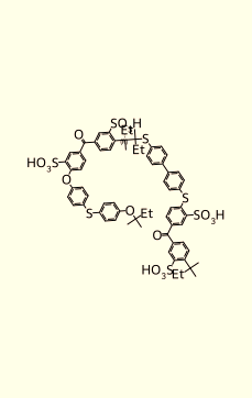 CCC(C)(C)Oc1ccc(Sc2ccc(Oc3ccc(C(=O)c4ccc([C@@](C)(CC)C(C)(CC)Sc5ccc(-c6ccc(Sc7ccc(C(=O)c8ccc(C(C)(C)CC)c(S(=O)(=O)O)c8)cc7S(=O)(=O)O)cc6)cc5)c(S(=O)(=O)O)c4)cc3S(=O)(=O)O)cc2)cc1